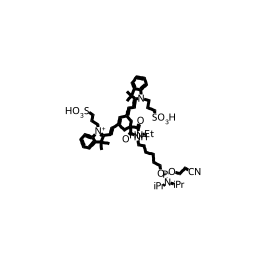 CCNC(=O)C1(C(=O)NCCCCCCOP(OCCC#N)N(C(C)C)C(C)C)CC(/C=C/C2=[N+](CCCS(=O)(=O)O)c3ccccc3C2(C)C)=CC(=C/C=C2/N(CCCS(=O)(=O)O)c3ccccc3C2(C)C)/C1